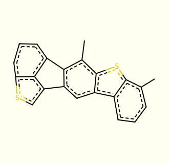 Cc1cccc2c1sc1c(C)c3c(cc12)-c1csc2cccc-3c12